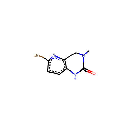 CN1Cc2nc(Br)ccc2NC1=O